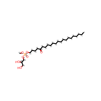 CCCCCCCCCCCCCCCCCC(=O)CCCCOP(=O)(OC)OCC(O)CO